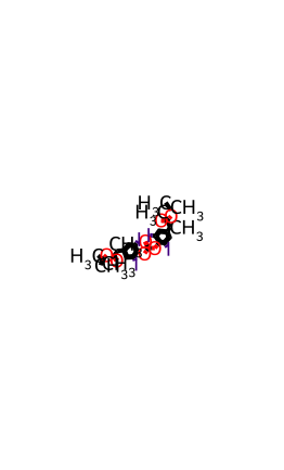 CC(C(=O)OC(C)(C)C)c1cc(I)c(OC(=O)Oc2c(I)cc(C(C)C(=O)OC(C)(C)C)cc2I)c(I)c1